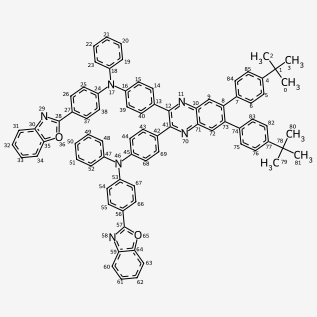 CC(C)(C)c1ccc(-c2cc3nc(-c4ccc(N(c5ccccc5)c5ccc(-c6nc7ccccc7o6)cc5)cc4)c(-c4ccc(N(c5ccccc5)c5ccc(-c6nc7ccccc7o6)cc5)cc4)nc3cc2-c2ccc(C(C)(C)C)cc2)cc1